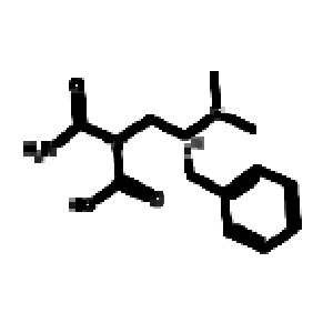 CN(C)[C@H](Cc1ccccc1)CN(C(N)=O)C(=O)O